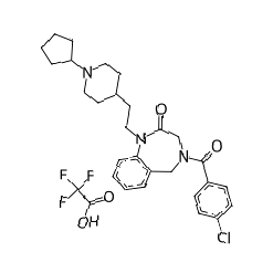 O=C(O)C(F)(F)F.O=C(c1ccc(Cl)cc1)N1CC(=O)N(CCC2CCN(C3CCCC3)CC2)c2ccccc2C1